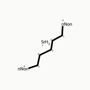 CCCCCCCCCCCCCCCCCCCCCCC.[SrH2]